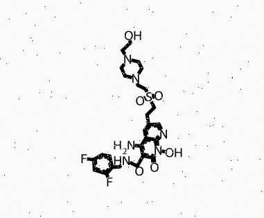 Nc1c(C(=O)NCc2ccc(F)cc2F)c(=O)n(O)c2ncc(CCS(=O)(=O)CCN3CCN(CCO)CC3)cc12